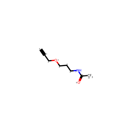 C#CCOCCCNC(=O)C(F)(F)F